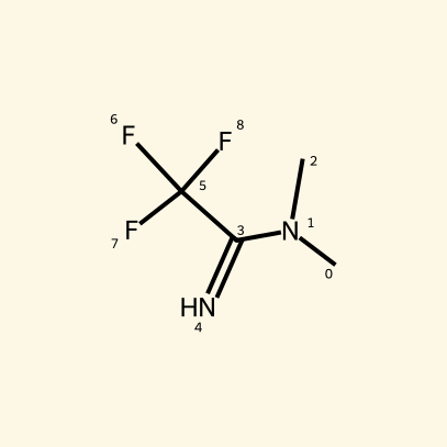 CN(C)C(=N)C(F)(F)F